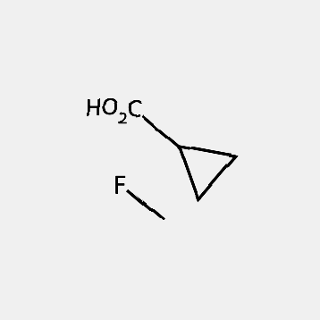 CF.O=C(O)C1CC1